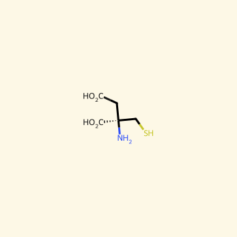 N[C@](CS)(CC(=O)O)C(=O)O